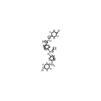 CCSC(Cc1nnc(C(C)c2ccc(C)cc2)s1)c1nnc(NCOc2ccc(C)cc2)s1